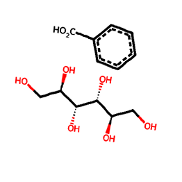 O=C(O)c1ccccc1.OC[C@@H](O)[C@@H](O)[C@H](O)[C@H](O)CO